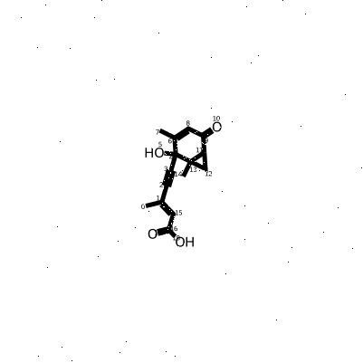 CC(C#CC1(O)C(C)=CC(=O)C2CC21C)=CC(=O)O